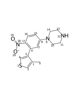 Cc1cscc1-c1cc(N2CCNCC2)ccc1[N+](=O)[O-]